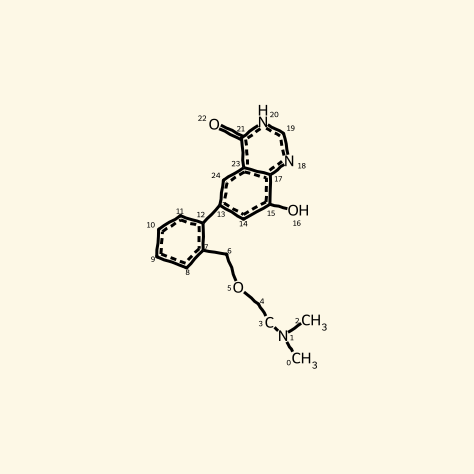 CN(C)CCOCc1ccccc1-c1cc(O)c2nc[nH]c(=O)c2c1